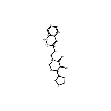 O=C1C(=O)N(C2CCCC2)CCN1CCC1=Cc2ccccc2NN1